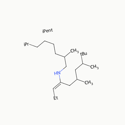 CC/C=C(\CC(C)CC(C)C(C)(C)C)NCC(C)CCC(CC(C)C)[C@H](C)CCC